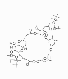 C=C1C(C)CC2CC[C@@H]3OC(CCC(=O)/C=C/C(O[Si](C)(C)C(C)(C)C)C4O[C@H]5CCC(CC(=O)CC6[C@H](CC1O2)O[C@H](CC(CO[Si](C)(C)C(C)(C)C)O[Si](C)(C)C(C)(C)C)[C@@H]6OC)OC5[C@H](O)C4O[Si](C)(C)C(C)(C)C)CC3=C